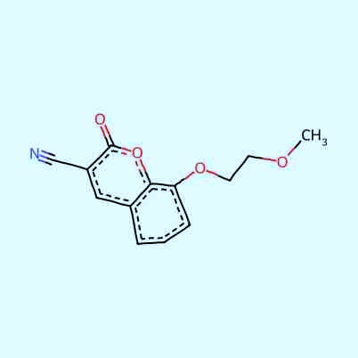 COCCOc1cccc2cc(C#N)c(=O)oc12